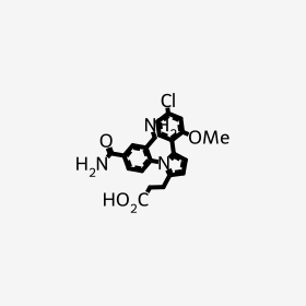 COc1cc(Cl)ccc1-c1ccc(CCC(=O)O)n1-c1ccc(C(N)=O)cc1CN